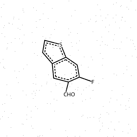 O=Cc1cc2ccsc2cc1F